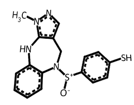 Cn1ncc2c1Nc1ccccc1N([S+]([O-])c1ccc(S)cc1)C2